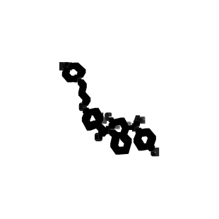 CC(=O)N(c1ccc(Cl)cc1)[C@@H]1C[C@H](C)N(C(=O)c2ccc(OCCCN3CCNCC3)cc2)c2ccccc21